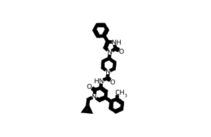 Cc1ccccc1-c1cc(NC(=O)N2CCC(n3cc(-c4ccccc4)[nH]c3=O)CC2)c(=O)n(CC2CC2)c1